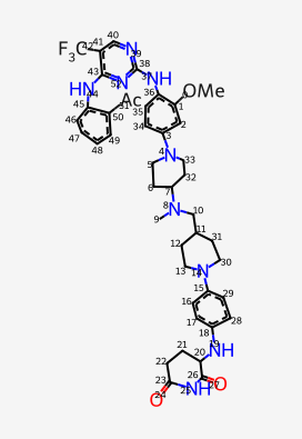 COc1cc(N2CCC(N(C)CC3CCN(c4ccc(NC5CCC(=O)NC5=O)cc4)CC3)CC2)ccc1Nc1ncc(C(F)(F)F)c(Nc2ccccc2C(C)=O)n1